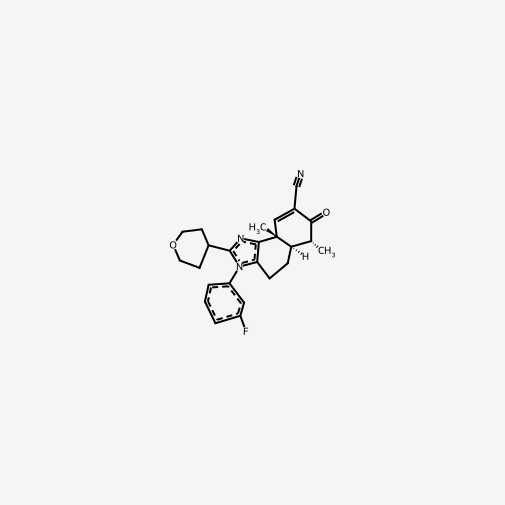 C[C@H]1C(=O)C(C#N)=C[C@@]2(C)c3nc(C4CCOCC4)n(-c4cccc(F)c4)c3CC[C@H]12